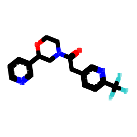 O=C(Cc1ccc(C(F)(F)F)nc1)N1CCOC(c2cccnc2)C1